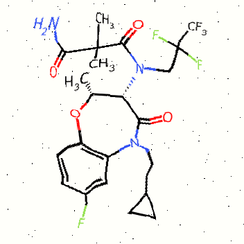 C[C@H]1Oc2ccc(F)cc2N(CC2CC2)C(=O)[C@H]1N(CC(F)(F)C(F)(F)F)C(=O)C(C)(C)C(N)=O